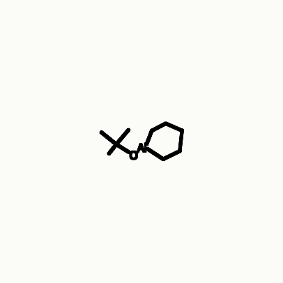 CC(C)(C)[O][Al]1[CH2]CCC[CH2]1